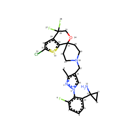 Cc1nn(-c2c(F)cccc2C2(N)CC2)cc1CN1CCC2(CC1)OCC(F)(F)c1cc(Cl)sc12